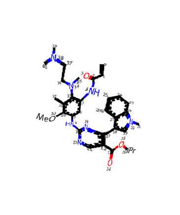 C=CC(=O)Nc1cc(Nc2ncc(C(=O)OC(C)C)c(-c3cn(C)c4ccccc34)n2)c(OC)c(C)c1N(C)CCN(C)C